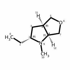 CC[C@@H]1C[C@H]2COC[C@H]2N1C